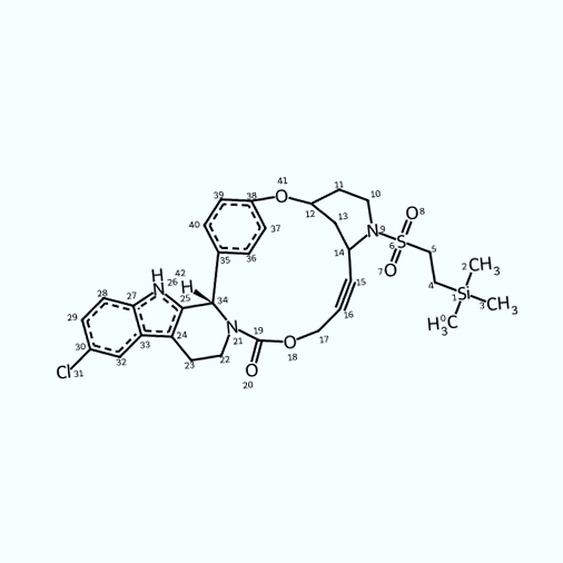 C[Si](C)(C)CCS(=O)(=O)N1CCC2CC1C#CCOC(=O)N1CCc3c([nH]c4ccc(Cl)cc34)[C@@H]1c1ccc(cc1)O2